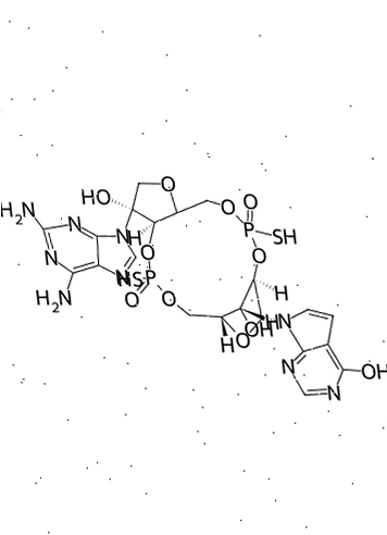 Nc1nc(N)c2ncn([C@@]3(O)COC4COP(=O)(S)O[C@@H]5[C@H](O)[C@@H](COP(=O)(S)O[C@H]43)O[C@H]5n3ccc4c(O)ncnc43)c2n1